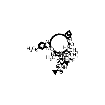 COc1ccc2nc3c(nc2c1)O[C@H]1CN(C(=O)[C@H](C(C)(C)C)NC(=O)O[C@@H]2CC4CC(C4)C2CCCCC3)[C@H](C(=O)N[C@]2(C(=O)NS(=O)(=O)C3CC3)C[C@H]2C(F)F)[C@@H]1C